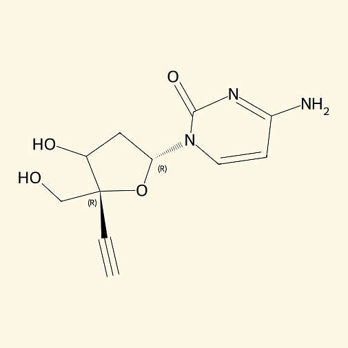 C#C[C@]1(CO)O[C@@H](n2ccc(N)nc2=O)CC1O